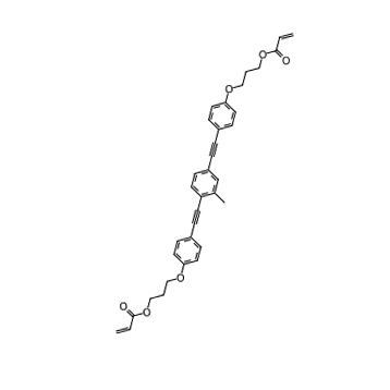 C=CC(=O)OCCCOc1ccc(C#Cc2ccc(C#Cc3ccc(OCCCOC(=O)C=C)cc3)c(C)c2)cc1